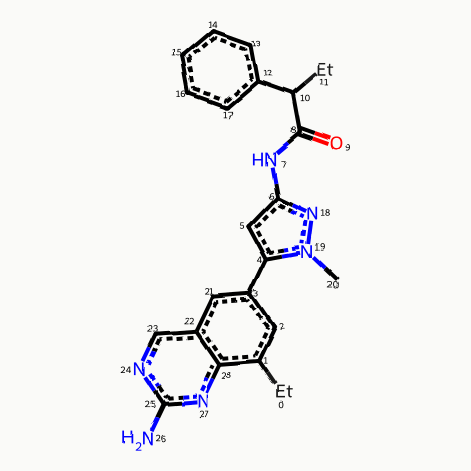 CCc1cc(-c2cc(NC(=O)C(CC)c3ccccc3)nn2C)cc2cnc(N)nc12